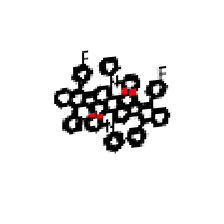 Fc1ccc(-c2c3c(c(-c4ccccc4)c4ccccc24)-c2cc(N(c4ccccc4)c4ccccc4)c4c5ccc6c7c(cc(N(c8ccccc8)c8ccccc8)c(c8ccc-3c2c84)c75)-c2c-6c(-c3ccccc3)c3ccccc3c2-c2ccc(F)cc2)cc1